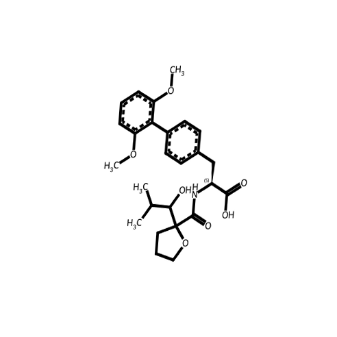 COc1cccc(OC)c1-c1ccc(C[C@H](NC(=O)C2(C(O)C(C)C)CCCO2)C(=O)O)cc1